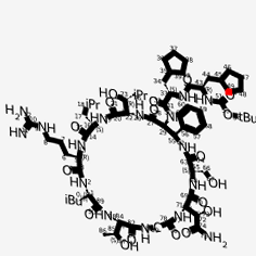 CC[C@H](C)[C@@H]1NC(=O)[C@@H](CCCNC(=N)N)NC(=O)[C@H](CC(C)C)NC(=O)[C@H]([C@H](O)C(C)C)NC(=O)[C@@H](NC(=O)[C@H](CC2CCCC2)NC(=O)[C@@H](CC2CCCC2)NC(=O)OC(C)(C)C)[C@@H](c2ccccc2)NC(=O)[C@H](CO)NC(=O)[C@H]([C@H](O)C(N)=O)NC(=O)CNC(=O)[C@H]([C@H](C)O)NC1=O